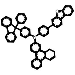 C1=Cc2c(c3cc(N(c4ccc(-c5ccc6c(c5)oc5ccccc56)cc4)c4ccc(C5(c6ccccc6)c6ccccc6-c6ccccc65)cc4)ccc3c3ccccc23)CC1